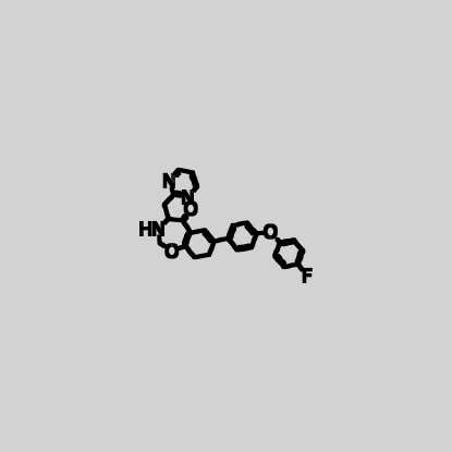 O=C1C2=C(CCC(c3ccc(Oc4ccc(F)cc4)cc3)=C2)OCNC1Cc1ncccn1